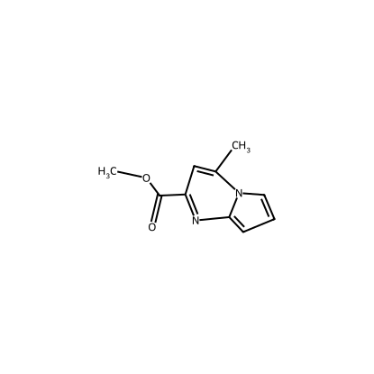 COC(=O)c1cc(C)n2cccc2n1